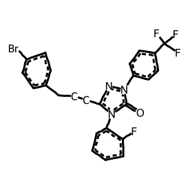 O=c1n(-c2ccc(C(F)(F)F)cc2)nc(CCCc2ccc(Br)cc2)n1-c1ccccc1F